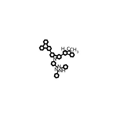 CC1(C)c2ccccc2-c2cc(-c3ccc4c(c3)c3cc(-c5ccc6c7ccccc7c7ccccc7c6c5)ccc3n4-c3cccc(C4=NC(c5ccccc5)NC(c5ccccc5)=N4)c3)ccc21